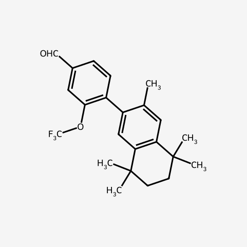 Cc1cc2c(cc1-c1ccc(C=O)cc1OC(F)(F)F)C(C)(C)CCC2(C)C